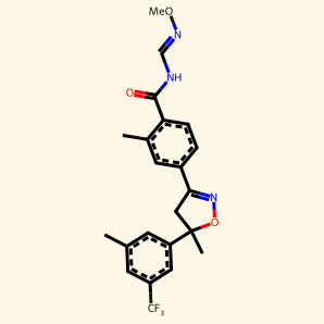 CON=CNC(=O)c1ccc(C2=NOC(C)(c3cc(C)cc(C(F)(F)F)c3)C2)cc1C